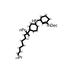 CCCCCCCCCCC1=CC(NC2CCCC(C(C)(CCC)CCCCCCCC(C)C)CC2)CCC1